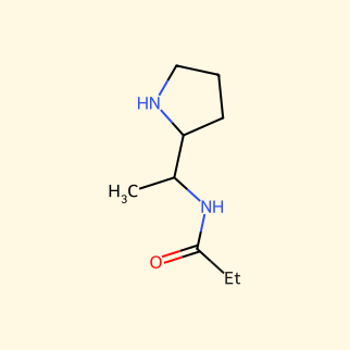 CCC(=O)NC(C)C1CCCN1